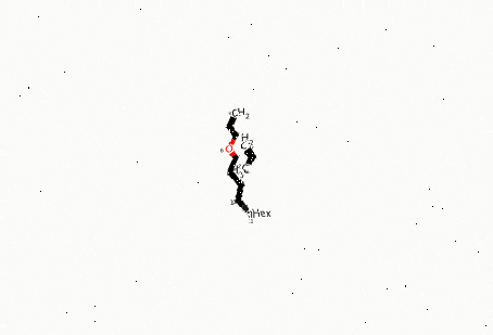 C=CC.C=CCOCCCCCCCCCC